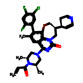 C=CC(=O)N1[C@H](C)CN(c2nc(=O)n3c4c(c(-c5cc(Cl)c(F)cc5F)c(C(F)(F)F)cc24)SC[C@H]([C@@H]2C=CN=CC2)C3)C[C@@H]1C